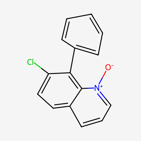 [O-][n+]1cccc2ccc(Cl)c(-c3ccccc3)c21